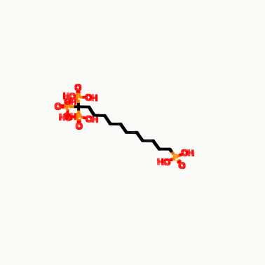 O=P(O)(O)CCCCCCCCCCCC(P(=O)(O)O)(P(=O)(O)O)P(=O)(O)O